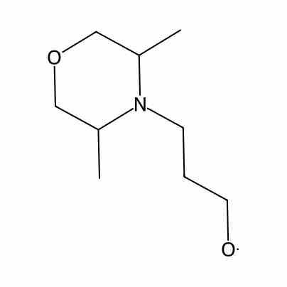 CC1COCC(C)N1CCC[O]